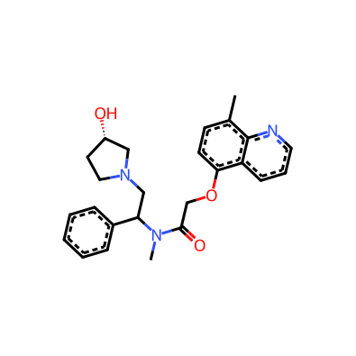 Cc1ccc(OCC(=O)N(C)C(CN2CC[C@H](O)C2)c2ccccc2)c2cccnc12